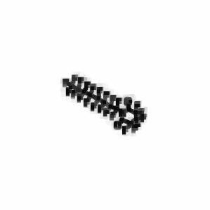 O=C1N(C(F)(F)C(F)(F)C(F)(F)C(F)(F)C(F)(F)C(F)(F)C(F)(F)C(F)(F)F)C(=O)C(F)(F)C(F)(F)C1(F)F